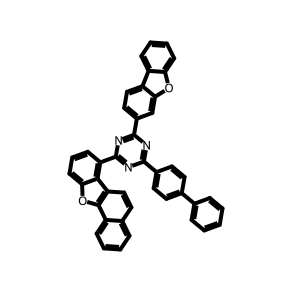 c1ccc(-c2ccc(-c3nc(-c4ccc5c(c4)oc4ccccc45)nc(-c4cccc5oc6c7ccccc7ccc6c45)n3)cc2)cc1